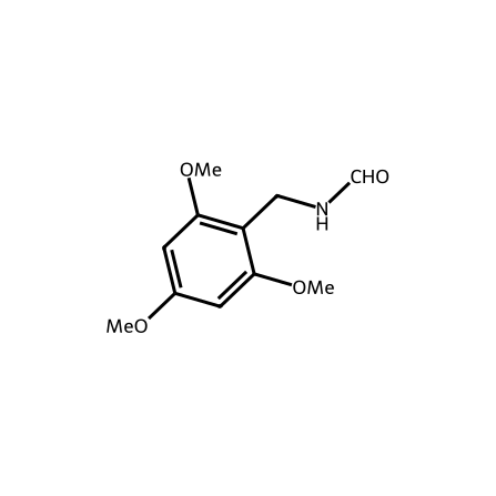 COc1cc(OC)c(CNC=O)c(OC)c1